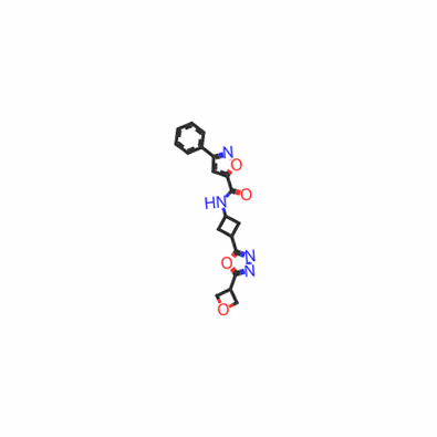 O=C(NC1CC(c2nnc(C3COC3)o2)C1)c1cc(-c2ccccc2)no1